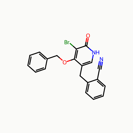 N#Cc1ccccc1Cc1c[nH]c(=O)c(Br)c1OCc1ccccc1